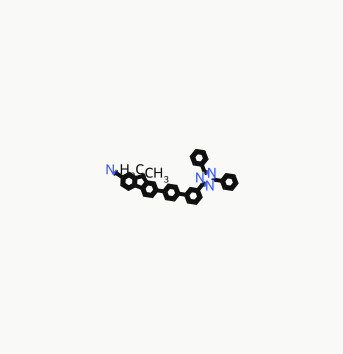 CC1(C)c2cc(C#N)ccc2-c2ccc(-c3ccc(-c4cccc(-c5nc(-c6ccccc6)nc(-c6ccccc6)n5)c4)cc3)cc21